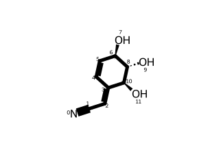 N#C/C=C1\C=C[C@@H](O)[C@H](O)[C@H]1O